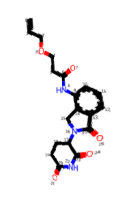 C=CCOCCC(=O)Nc1cccc2c1CN(C1CCC(=O)NC1=O)C2=O